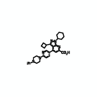 CC(C)N1CCN(c2ccc(-c3cc(C(=O)O)nc4c3c(C3CCC3)nn4C3CCCCC3)cn2)CC1